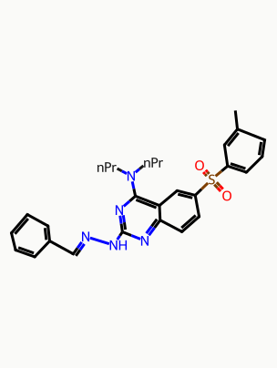 CCCN(CCC)c1nc(N/N=C/c2ccccc2)nc2ccc(S(=O)(=O)c3cccc(C)c3)cc12